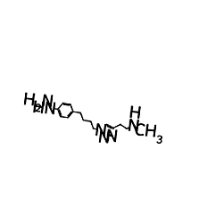 CNCCc1cn(CCCCc2ccc(NN)cc2)nn1